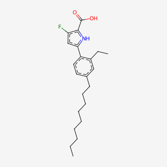 CCCCCCCCCc1ccc(-c2cc(F)c(C(=O)O)[nH]2)c(CC)c1